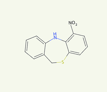 O=[N+]([O-])c1cccc2c1Nc1ccccc1CS2